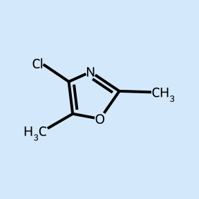 Cc1nc(Cl)c(C)o1